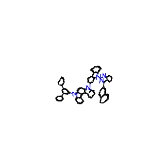 c1ccc(-c2cc(-c3ccccc3)cc(-n3c4ccccc4c4c5c6ccccc6n(-c6ccc7c8ccccc8n(-c8nc(-c9ccc%10ccccc%10c9)c9ccccc9n8)c7c6)c5ccc43)c2)cc1